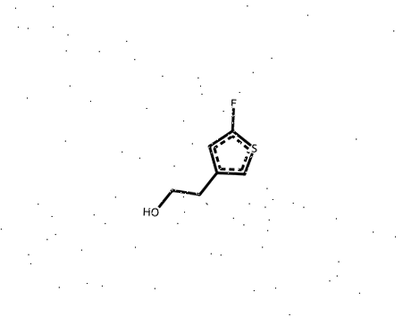 OCCc1csc(F)c1